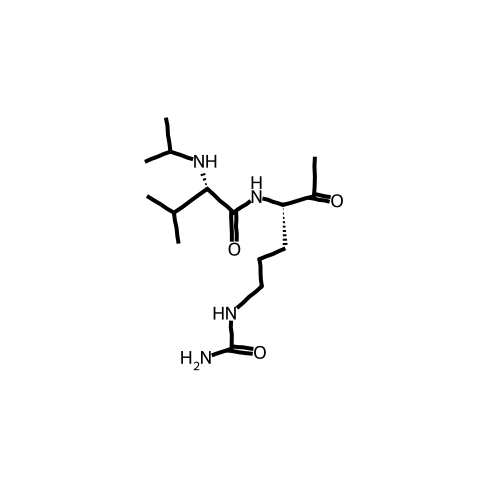 CC(=O)[C@H](CCCNC(N)=O)NC(=O)[C@@H](NC(C)C)C(C)C